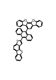 c1ccc2c(c1)oc1c2cc(-c2c3ccccc3c(-c3cc4c(ccc5c6ccccc6sc45)s3)c3ccccc23)c2c3ccccc3oc12